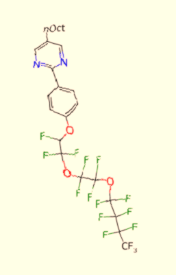 CCCCCCCCc1cnc(-c2ccc(OC(F)C(F)(F)OC(F)(F)C(F)(F)OC(F)(F)C(F)(F)C(F)(F)C(F)(F)F)cc2)nc1